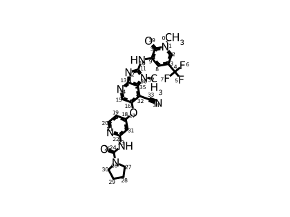 Cn1cc(C(F)(F)F)cc(Nc2nc3ncc(Oc4ccnc(NC(=O)N5CCCC5)c4)c(C#N)c3n2C)c1=O